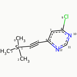 C[Si](C)(C)C#Cc1cc(Cl)ncn1